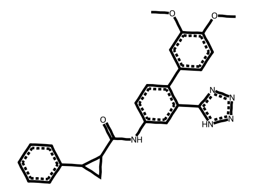 COc1ccc(-c2ccc(NC(=O)C3CC3c3ccccc3)cc2-c2nnn[nH]2)cc1OC